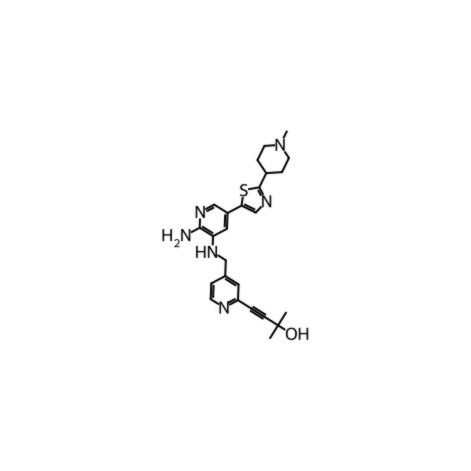 CN1CCC(c2ncc(-c3cnc(N)c(NCc4ccnc(C#CC(C)(C)O)c4)c3)s2)CC1